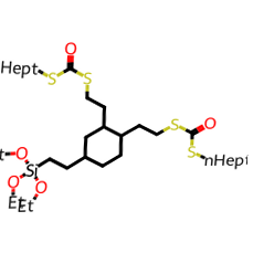 CCCCCCCSC(=O)SCCC1CCC(CC[Si](OCC)(OCC)OCC)CC1CCSC(=O)SCCCCCCC